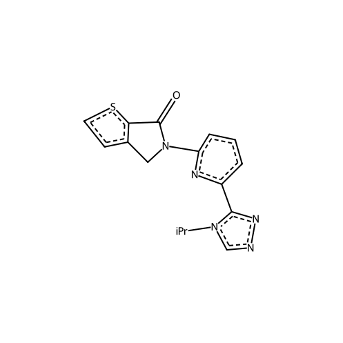 CC(C)n1cnnc1-c1cccc(N2Cc3ccsc3C2=O)n1